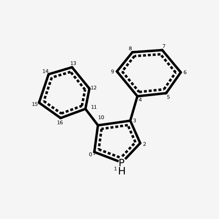 [c]1[pH]cc(-c2ccccc2)c1-c1ccccc1